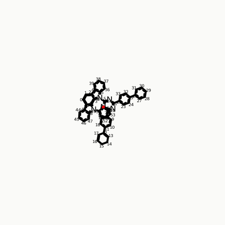 C1=C=c2c(n(-c3nc(-c4ccc(C5=CCCC=C5)cc4)nc(-c4ccc(-c5ccccc5)cc4)n3)c3ccccc23)=c2c=1c1ccccc1n2-c1ccccc1